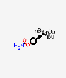 CCC[CH2][Sn]([C]#Cc1ccc(OC(N)=O)cc1)([CH2]CCC)[CH2]CCC